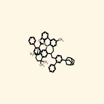 Cc1cc2c3c(c1)-c1cccc4oc(-c5ccccc5-c5ccccc5)[n+](c14)B3c1cc3c(cc1C(Cc1ccc(C45CC6CC(C4)C(C6)C5)cc1-c1ccccc1)C2)C(C)(C)CCC3(C)C